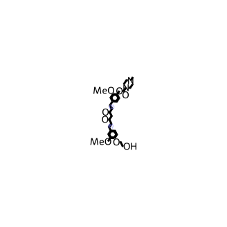 COc1cc(/C=C/C(=O)CC(=O)/C=C/c2ccc(OC(=O)N3CCN(C)CC3)c(OC)c2)ccc1OCCO